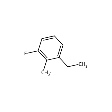 [CH2]c1c(F)cccc1CC